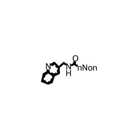 CCCCCCCCCC(=O)NCc1cnc2ccccc2c1